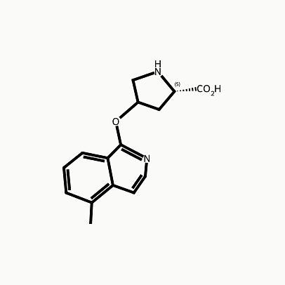 Cc1cccc2c(OC3CN[C@H](C(=O)O)C3)nccc12